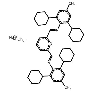 Cc1cc(C2CCCCC2)c(N=Cc2cccc(C=Nc3c(C4CCCCC4)cc(C)cc3C3CCCCC3)n2)c(C2CCCCC2)c1.[Cl-].[Cl-].[Cl-].[Nd+3]